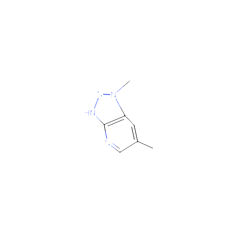 Cc1cnc2c(c1)N(C)NN2